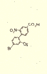 N#Cc1cc(Br)ccc1-c1ccc(C(=O)O)cc1[N+](=O)[O-]